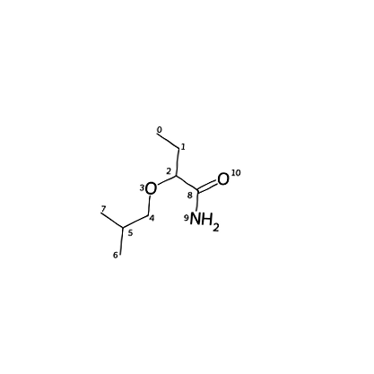 CCC(OCC(C)C)C(N)=O